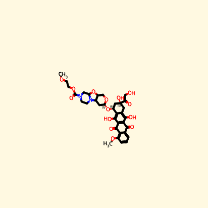 COCCOC(=O)N1CCN2C(C1)OC1CO[C@@H](O[C@H]3C[C@](O)(C(=O)CO)Cc4c(O)c5c(c(O)c43)C(=O)c3c(OC)cccc3C5=O)CC12